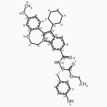 CCOC(=O)[C@H](Cc1ccc(O)cc1)NC(=O)c1ccc2c(C3CCCCC3)c3n(c2c1)CCOc1cc(OC)ccc1-3